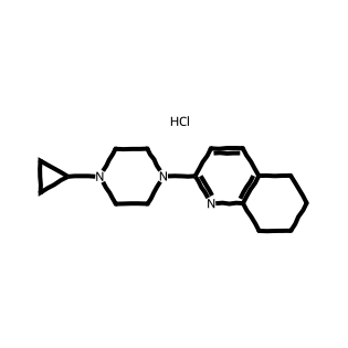 Cl.c1cc2c(nc1N1CCN(C3CC3)CC1)CCCC2